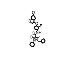 COc1ccc2c(Oc3ccc(NC(=O)c4c(C)n(Cc5ccccc5)n(-c5ccccc5)c4=O)cc3F)ccnc2c1